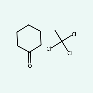 CC(Cl)(Cl)Cl.O=C1CCCCC1